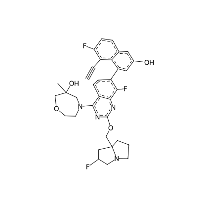 C#Cc1c(F)ccc2cc(O)cc(-c3ccc4c(N5CCOCC(C)(O)C5)nc(OCC56CCCN5CC(F)C6)nc4c3F)c12